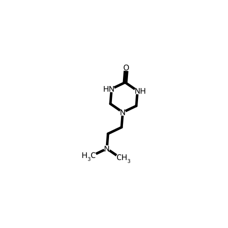 CN(C)CCN1CNC(=O)NC1